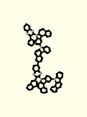 c1ccc(-c2nc3ccccc3nc2-n2c3ccc(-n4c5ccccc5c5c6ccc(-c7ccc8nc(-c9ccc%10ccccc%10c9)c(-n9c%10ccc(-n%11c%12ccccc%12c%12ccc%13ccccc%13c%12%11)cc%10c%10c%11ccccc%11ccc%109)nc8c7)cc6ccc54)cc3c3c4ccccc4ccc32)cc1